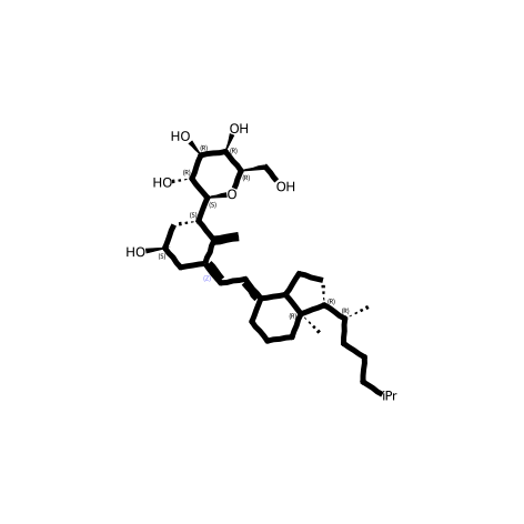 C=C1/C(=C\C=C2CCC[C@@]3(C)C2CC[C@@H]3[C@H](C)CCCC(C)C)C[C@@H](O)C[C@@H]1[C@@H]1O[C@H](CO)[C@H](O)[C@H](O)[C@H]1O